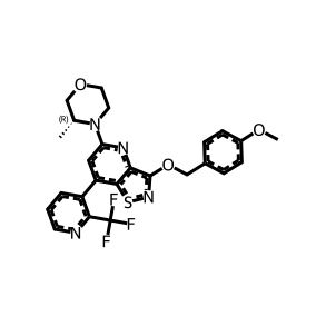 COc1ccc(COc2nsc3c(-c4cccnc4C(F)(F)F)cc(N4CCOC[C@H]4C)nc23)cc1